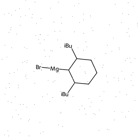 CCC(C)C1CCCC(C(C)CC)[CH]1[Mg][Br]